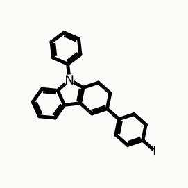 IC1=CC=C(C2=Cc3c(n(-c4ccccc4)c4ccccc34)CC2)CC1